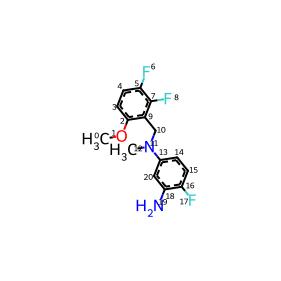 COc1ccc(F)c(F)c1CN(C)c1ccc(F)c(N)c1